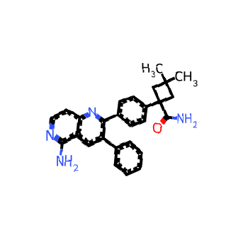 CC1(C)CC(C(N)=O)(c2ccc(-c3nc4ccnc(N)c4cc3-c3ccccc3)cc2)C1